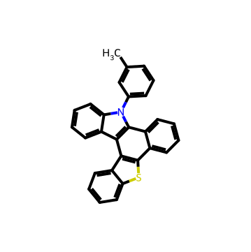 Cc1cccc(-n2c3ccccc3c3c4c5ccccc5sc4c4ccccc4c32)c1